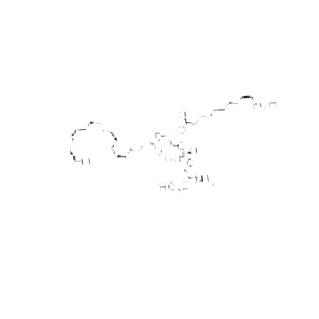 CC/C=C\C/C=C\C/C=C\C/C=C\C/C=C\CCCC(=O)O[C@H](COC(=O)CCCCCCC/C=C\CCCCCCCC)COP(=O)(O)OC[C@H](N)C(=O)O